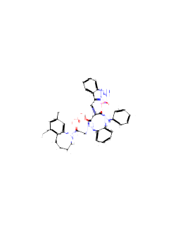 Cc1cc(C)c2c(c1)N(C(=O)CN1C(=O)/C(=C/c3n[nH]c4ccccc34)C(=O)N(c3ccccc3)c3ccccc31)CCCC2